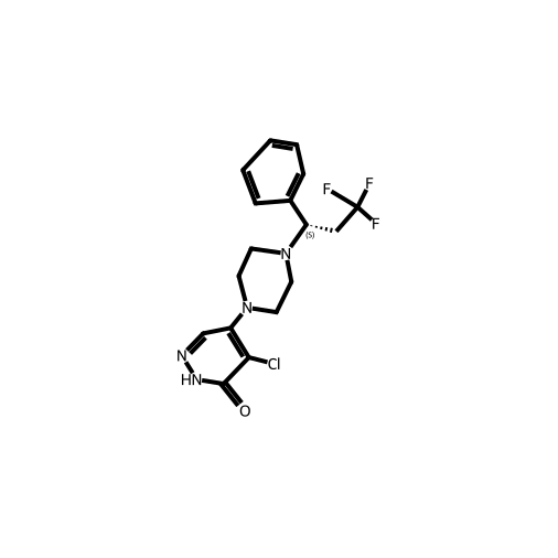 O=c1[nH]ncc(N2CCN([C@@H](CC(F)(F)F)c3ccccc3)CC2)c1Cl